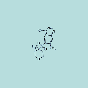 Cc1cc2nccc(Cl)c2cc1S(=O)(=O)C1(C)CCOCC1